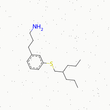 CCCC(CCC)CSc1cccc(CCCN)c1